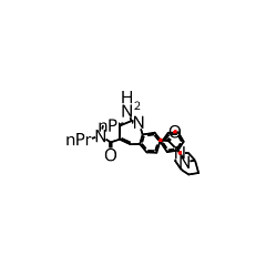 CCCN(CCC)C(=O)C1=Cc2ccc(C(=O)N3CC4CCC(C3)N4c3ccccc3)cc2N=C(N)C1